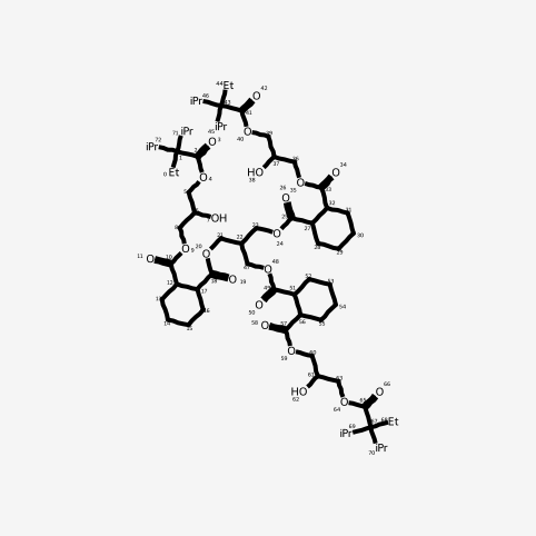 CCC(C(=O)OCC(O)COC(=O)C1CCCCC1C(=O)OCC(COC(=O)C1CCCCC1C(=O)OCC(O)COC(=O)C(CC)(C(C)C)C(C)C)COC(=O)C1CCCCC1C(=O)OCC(O)COC(=O)C(CC)(C(C)C)C(C)C)(C(C)C)C(C)C